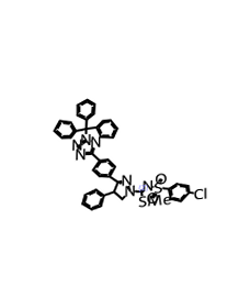 CS/C(=N\S(=O)(=O)c1ccc(Cl)cc1)N1CC(c2ccccc2)C(c2ccc(-c3nnn(C(c4ccccc4)(c4ccccc4)c4ccccc4)n3)cc2)=N1